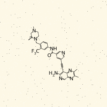 Cc1nc2cnc(N)c(C#Cc3cncc(C(=O)Nc4ccc(CN5CCN(C)C[C@@H]5C)c(C(F)(F)F)c4)c3)c2nc1C